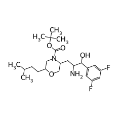 CC(C)CCC1CN(C(=O)OC(C)(C)C)C(CC(N)C(O)c2cc(F)cc(F)c2)CO1